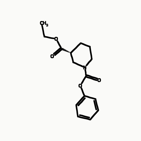 CCOC(=O)[C@@H]1CCCN(C(=O)Oc2ccccc2)C1